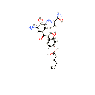 CCCCC(=O)Oc1ccc2c(C(=O)c3cc(N)c(O)c(N)c3)c(CCCC(N)=O)oc2c1